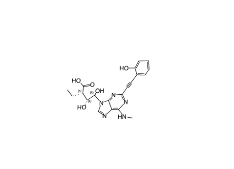 CC[C@H](C(=O)O)[C@@H](O)[C@@H](O)n1cnc2c(NC)nc(C#Cc3ccccc3O)nc21